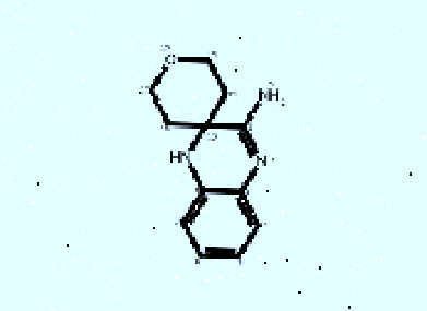 NC1=Nc2ccccc2NC12CCOCC2